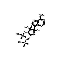 CSc1ncnn2c(C3(O)O[C@H](CO[Si](C)(C)C(C)(C)C)[C@@H](O[Si](C)(C)C(C)(C)C)[C@@]3(C)C#N)cnc12